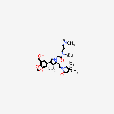 CCCCN(CCCN(C)C)C(=O)CN1C[C@H](c2cc(CO)c3c(c2)OCO3)[C@@H](C(=O)O)[C@@H]1CCN1CC(C)(C)CC1=O